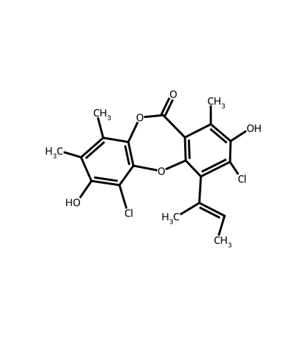 C/C=C(\C)c1c(Cl)c(O)c(C)c2c1Oc1c(Cl)c(O)c(C)c(C)c1OC2=O